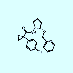 O=C(N[C@H]1CCC[C@@H]1OCc1ccccc1)C1(c2ccc(Cl)cc2)CC1